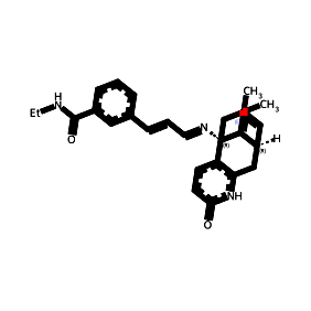 C/C=C1\[C@H]2C=C(C)C[C@]1(N=CC=Cc1cccc(C(=O)NCC)c1)c1ccc(=O)[nH]c1C2